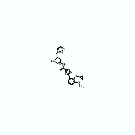 O=C(N[C@H]1CN[C@H](Cn2ccnn2)C1)c1nnc(-c2cccc(OC(F)(F)F)c2OC2CC2)o1